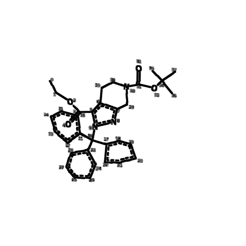 CCOC(=O)c1c2c(nn1C(c1ccccc1)(c1ccccc1)c1ccccc1)CN(C(=O)OC(C)(C)C)CC2